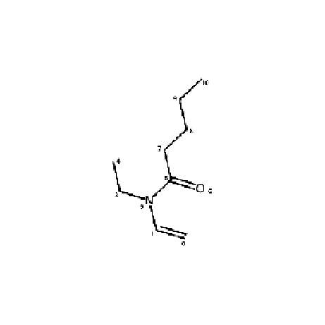 C=CN(CC)C(=O)CCCC